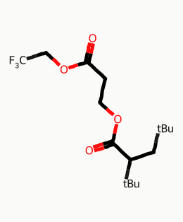 CC(C)(C)CC(C(=O)OCCC(=O)OCC(F)(F)F)C(C)(C)C